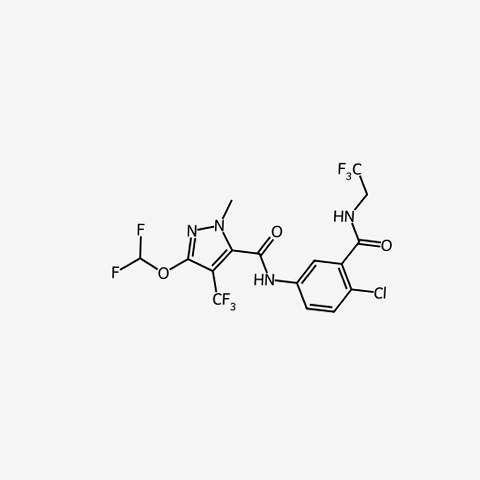 Cn1nc(OC(F)F)c(C(F)(F)F)c1C(=O)Nc1ccc(Cl)c(C(=O)NCC(F)(F)F)c1